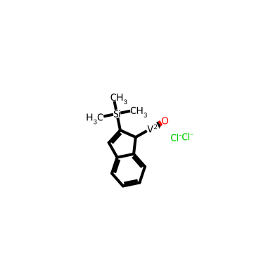 C[Si](C)(C)C1=Cc2ccccc2[CH]1[V+2]=[O].[Cl-].[Cl-]